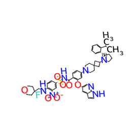 CC(C)c1ccccc1[C@@H]1CCCN1C1CC2(CCN(c3ccc(C(=O)NS(=O)(=O)c4ccc(NCC5(F)CCOCC5)c([N+](=O)[O-])c4)c(Oc4cnc5[nH]ccc5c4)c3)CC2)C1